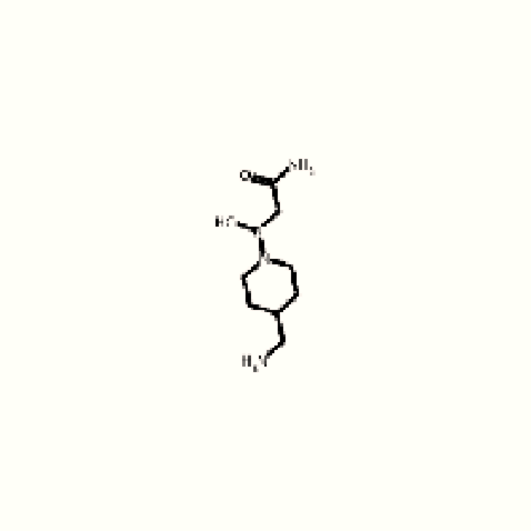 NCC1CCN(N(O)CC(N)=O)CC1